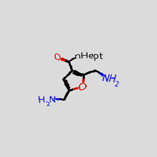 CCCCCCCC(=O)c1cc(CN)oc1CN